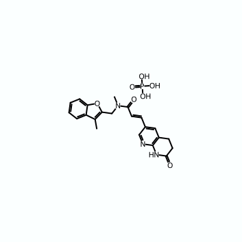 Cc1c(CN(C)C(=O)/C=C/c2cnc3c(c2)CCC(=O)N3)oc2ccccc12.O=P(O)(O)O